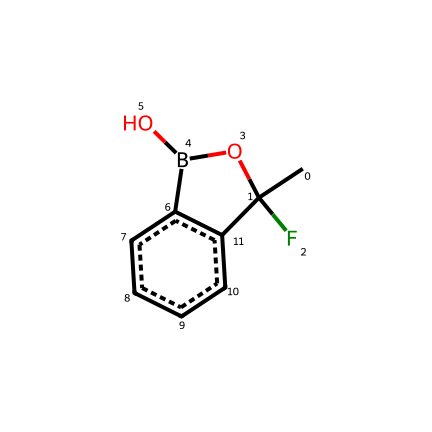 CC1(F)OB(O)c2ccccc21